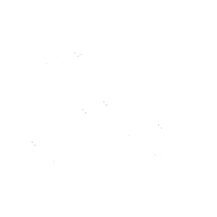 CC(C)(C)N(CC1CCN(c2cc(C(N)=O)cc(-c3ccnc(F)c3)n2)CC1)C(=O)O